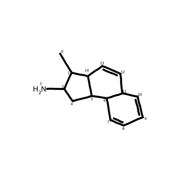 CC1C(N)CC2C3C=CC=CC3C=CC12